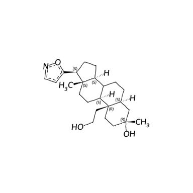 C[C@@]1(O)CC[C@@]2(CCO)[C@@H](CCC3[C@@H]4CC[C@H](c5ccno5)[C@@]4(C)CC[C@@H]32)C1